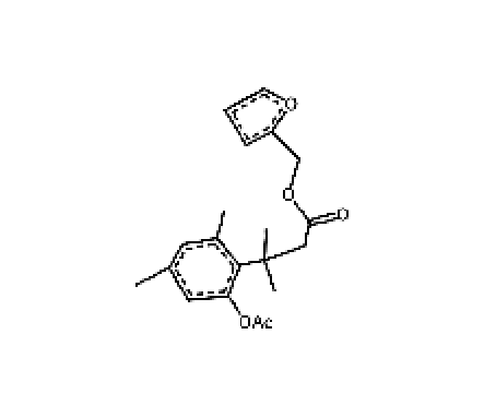 CC(=O)Oc1cc(C)cc(C)c1C(C)(C)CC(=O)OCc1ccco1